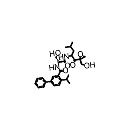 CC(C)CC(NC(=O)[C@H](CO)NC(=O)c1cc(-c2ccccc2)ccc1C(C)C)C(=O)C1(CO)CO1